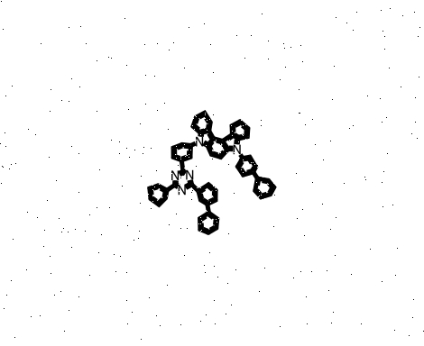 c1ccc(-c2ccc(-n3c4ccccc4c4c5c6ccccc6n(-c6cccc(-c7nc(-c8ccccc8)nc(-c8cccc(-c9ccccc9)c8)n7)c6)c5ccc43)cc2)cc1